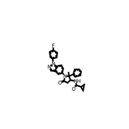 CC1(c2ccccc2)C(NC(=O)C2CC2)CC(=O)N1c1ccc2c(cnn2-c2ccc(F)cc2)c1